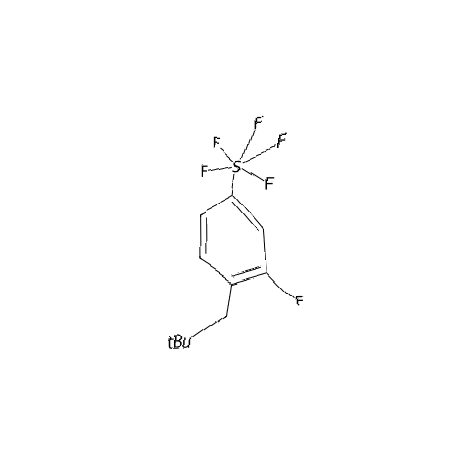 CC(C)(C)Cc1ccc(S(F)(F)(F)(F)F)cc1F